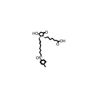 Cc1ccc([S+]([O-])CCCCC/C=C/C[C@H]2[C@H](O)CC(=O)[C@@H]2CCCCCCC(=O)O)cc1